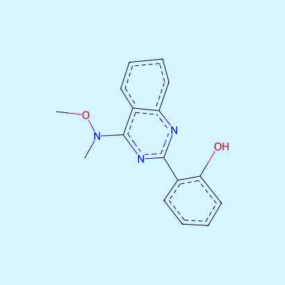 CON(C)c1nc(-c2ccccc2O)nc2ccccc12